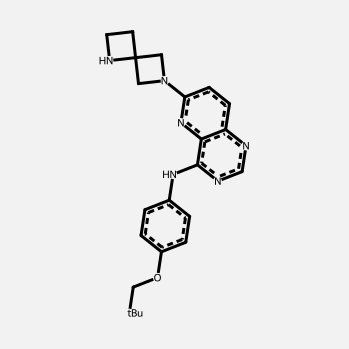 CC(C)(C)COc1ccc(Nc2ncnc3ccc(N4CC5(CCN5)C4)nc23)cc1